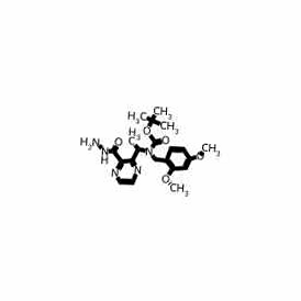 COc1ccc(CN(C(=O)OC(C)(C)C)C(C)c2nccnc2C(=O)NN)c(OC)c1